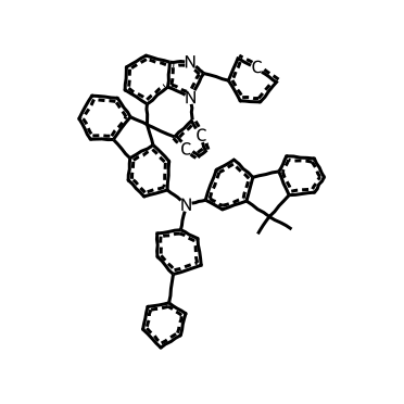 CC1(C)c2ccccc2-c2ccc(N(c3ccc(-c4ccccc4)cc3)c3ccc4c(c3)C3(c5ccccc5-4)c4ccccc4-n4c(-c5ccccc5)nc5cccc3c54)cc21